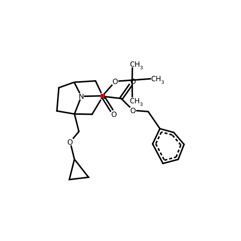 CC(C)(C)OC(=O)N1C2CCC1(COC1CC1)CN(C(=O)OCc1ccccc1)C2